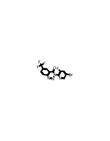 O=c1c2cc(C(F)(F)F)ccc2nnn1-c1ncc(Br)cc1F